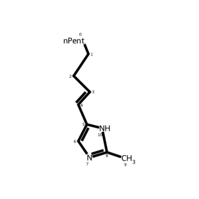 CCCCCCCC=Cc1cnc(C)[nH]1